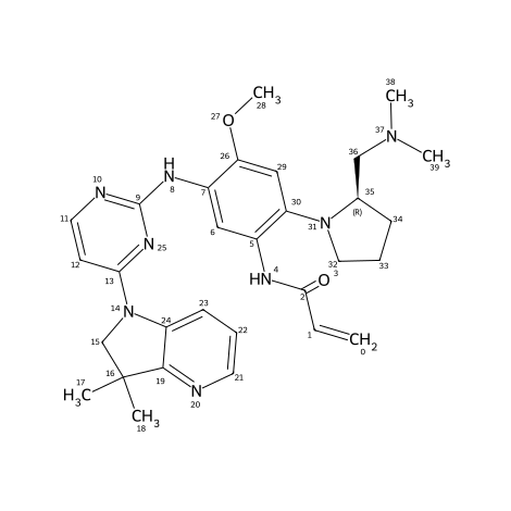 C=CC(=O)Nc1cc(Nc2nccc(N3CC(C)(C)c4ncccc43)n2)c(OC)cc1N1CCC[C@@H]1CN(C)C